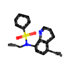 CCCCCCCCCCCN(c1ccc([N+](=O)[O-])c2cccnc12)S(=O)(=O)c1ccccc1